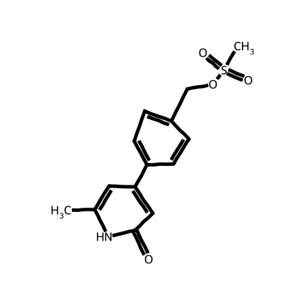 Cc1cc(-c2ccc(COS(C)(=O)=O)cc2)cc(=O)[nH]1